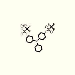 C1CCC(P(C2CCCCC2)C2CCCCC2)CC1.O=S(=O)([O-])C(F)(F)F.O=S(=O)([O-])C(F)(F)F.[Pt+2]